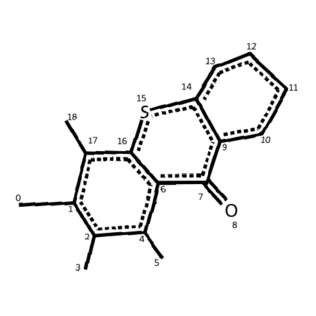 Cc1c(C)c(C)c2c(=O)c3ccccc3sc2c1C